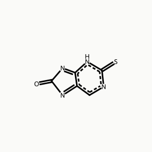 O=C1N=c2cnc(=S)[nH]c2=N1